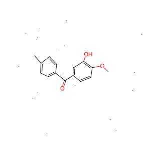 COc1ccc(C(=O)c2ccc(C)cc2)cc1O